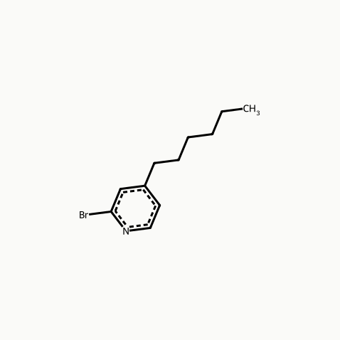 CCCCCCc1ccnc(Br)c1